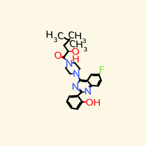 CC(C)(C)C[C@@H](O)C(=O)N1CCN(c2nc(-c3ccccc3O)nc3ccc(F)cc23)CC1